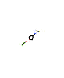 FC(F)C(F)(F)COc1ccc(-c2nsc(S)n2)cc1